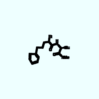 CCC(CCCc1ccccc1)C(=O)N[C@H](C(=O)NC)C(C)(C)C